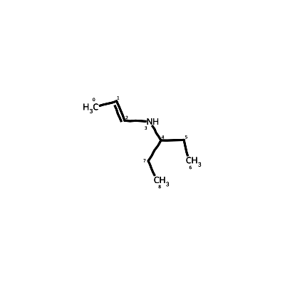 CC=CNC(CC)CC